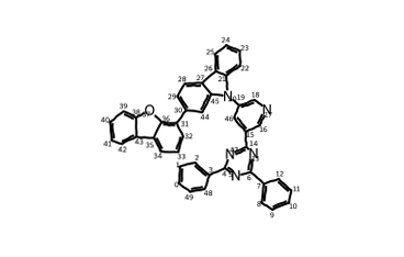 c1ccc(-c2nc(-c3ccccc3)nc(-c3cncc(-n4c5ccccc5c5ccc(-c6cccc7c6oc6ccccc67)cc54)c3)n2)cc1